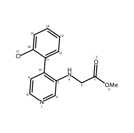 COC(=O)CNc1cnccc1-c1ccccc1Cl